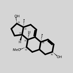 CO[C@H]1CC2C[C@@H](O)C=C[C@]2(C)C2=CC[C@]3(C)[C@@H](O)CC[C@H]3[C@@H]21